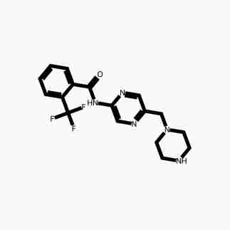 O=C(Nc1cnc(CN2CCNCC2)cn1)c1ccccc1C(F)(F)F